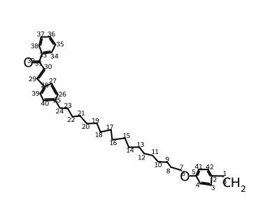 C=Cc1ccc(OCCCCCCCCCCCCCCCCCCc2ccc(C=CC(=O)c3ccccc3)cc2)cc1